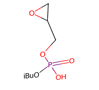 CC(C)COP(=O)(O)OCC1CO1